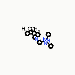 CC1(C)c2ccccc2-c2c1cc1cccc3c1c2C=CN3c1cccc(-c2nc(-c3ccccc3)nc(-c3ccccc3)n2)c1